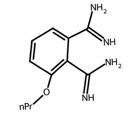 CCCOc1cccc(C(=N)N)c1C(=N)N